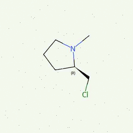 CN1CCC[C@@H]1CCl